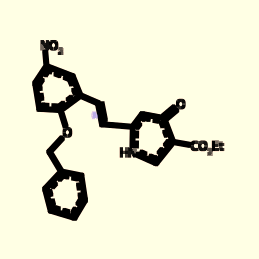 CCOC(=O)c1c[nH]c(/C=C/c2cc([N+](=O)[O-])ccc2OCc2ccccc2)cc1=O